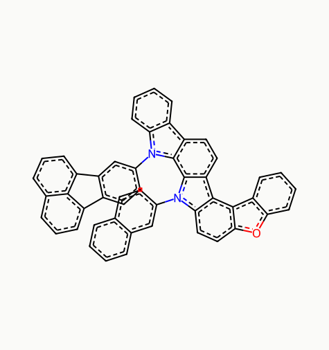 c1ccc2cc(-n3c4ccc5oc6ccccc6c5c4c4ccc5c6ccccc6n(-c6ccc7c(c6)-c6cccc8cccc-7c68)c5c43)ccc2c1